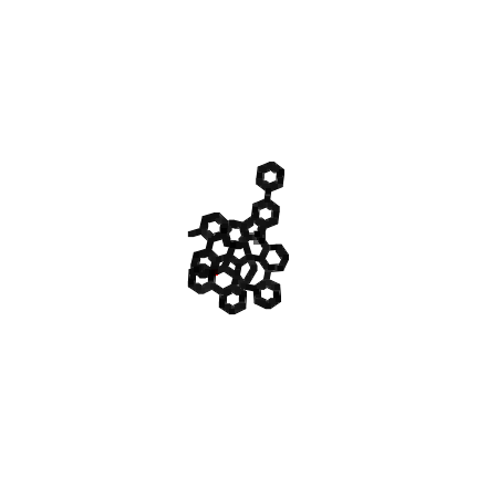 Cc1ccccc1-c1ccccc1C12CCC34CC(c5ccccc5C5=CC=CC(n6c7ccccc7c7cc(-c8ccccc8)ccc76)C53)C3(c5ccccc5-c5ccccc5C13)C42